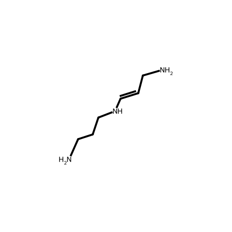 NCC=CNCCCN